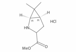 COC(=O)C1C[C@H]2[C@@H](N1)C2(C)C.Cl